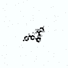 CN1CCN(C(=O)C2CCN(c3ccncc3NC(=O)C3C(N)NN4CC(F)CNC34)CC2)CC1